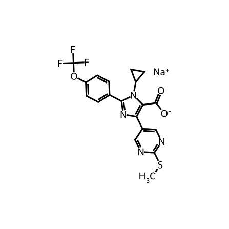 CSc1ncc(-c2nc(-c3ccc(OC(F)(F)F)cc3)n(C3CC3)c2C(=O)[O-])cn1.[Na+]